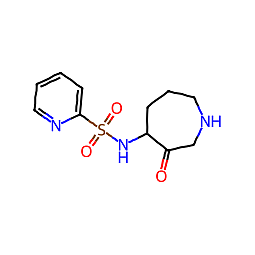 O=C1CNCCCC1NS(=O)(=O)c1ccccn1